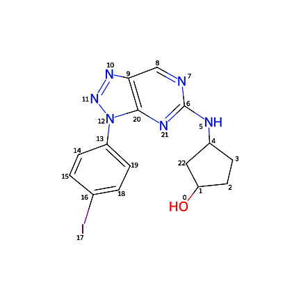 OC1CCC(Nc2ncc3nnn(-c4ccc(I)cc4)c3n2)C1